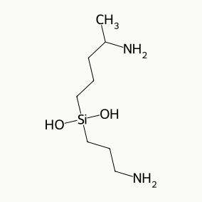 CC(N)CCC[Si](O)(O)CCCN